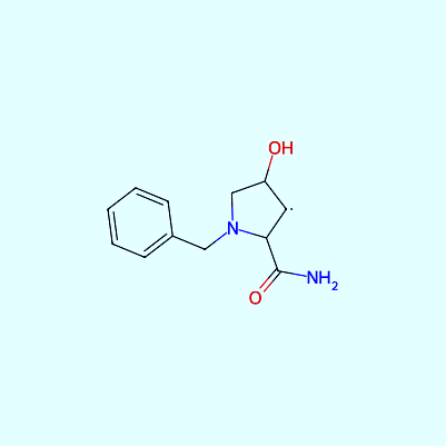 NC(=O)C1[CH]C(O)CN1Cc1ccccc1